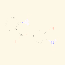 O=C(O)c1ccccc1[N+]([O-])=S.O=[N+]([O-])c1ccccc1O